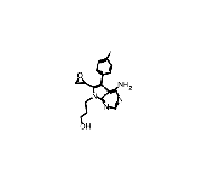 Cc1ccc(-c2c(C3CO3)n(CCCO)c3ncnc(N)c23)cc1